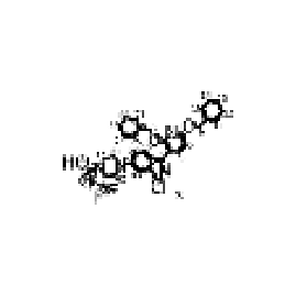 Cn1nc(-c2ccc(OCc3ccccc3)nc2OCc2ccccc2)c2ccc(N3CCN(C(=O)O)[C@@H](C(F)(F)F)C3)cc21